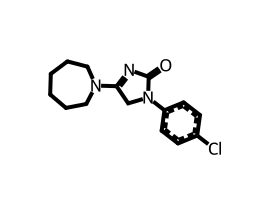 O=C1N=C(N2CCCCCC2)CN1c1ccc(Cl)cc1